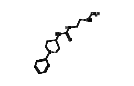 O=C(O)NCCNC(=O)NC1CCN(c2ccccn2)CC1